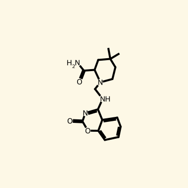 CC1(C)CCN(CNc2nc(=O)oc3ccccc23)C(C(N)=O)C1